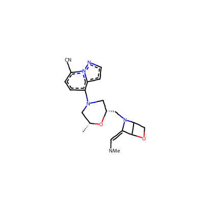 CN/C=C1\C2OCC2N1C[C@H]1CN(c2ccc(C#N)n3nccc23)C[C@@H](C)O1